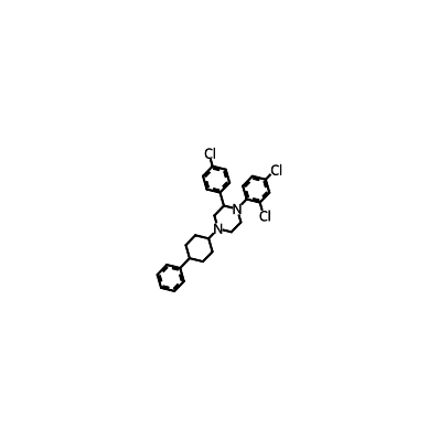 Clc1ccc(C2CN(C3CCC(c4ccccc4)CC3)CCN2c2ccc(Cl)cc2Cl)cc1